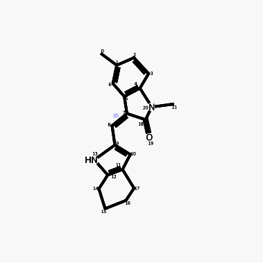 Cc1ccc2c(c1)/C(=C/c1cc3c([nH]1)CCCC3)C(=O)N2C